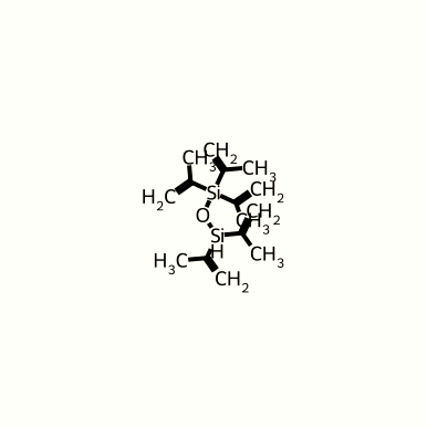 C=C(C)[SiH](O[Si](C(=C)C)(C(=C)C)C(=C)C)C(=C)C